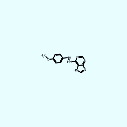 COc1ccc(NNc2ncnc3nc[nH]c23)cc1